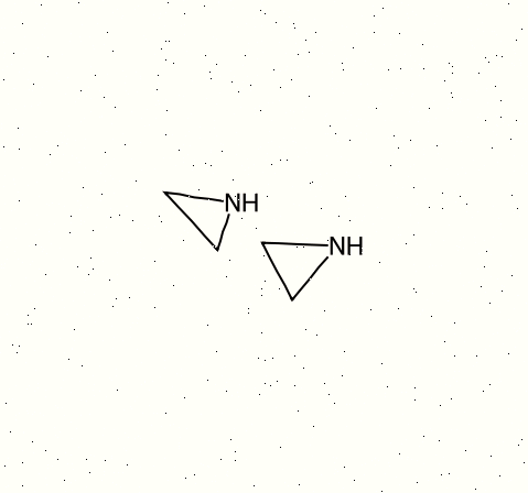 C1CN1.C1CN1